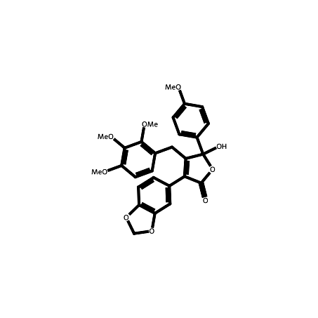 COc1ccc(C2(O)OC(=O)C(c3ccc4c(c3)OCO4)=C2Cc2ccc(OC)c(OC)c2OC)cc1